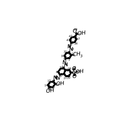 Cc1cc(N=Nc2ccc(N=Nc3ccc(O)cc3O)c3ccc(S(=O)(=O)O)cc23)ccc1N=Nc1ccc(C(=O)O)cc1